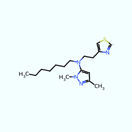 CCCCCCCN(CCc1cs[c]n1)c1cc(C)nn1C